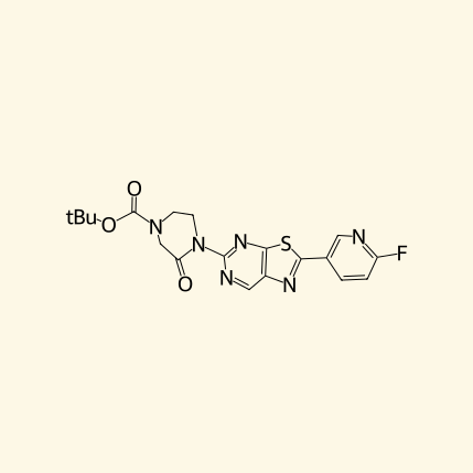 CC(C)(C)OC(=O)N1CCN(c2ncc3nc(-c4ccc(F)nc4)sc3n2)C(=O)C1